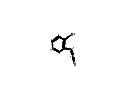 O=C=Nc1cnccc1Cl